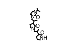 CC(CN1CCC(C(C)CN2CCN(C(C)C)C2=O)C1=O)C1CCCNC1=O